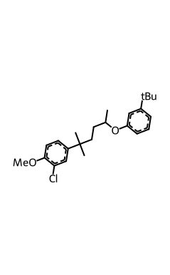 COc1ccc(C(C)(C)CCC(C)Oc2cccc(C(C)(C)C)c2)cc1Cl